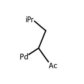 CC(=O)[CH]([Pd])CC(C)C